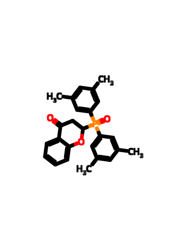 Cc1cc(C)cc(P(=O)(c2cc(C)cc(C)c2)C2CC(=O)c3ccccc3O2)c1